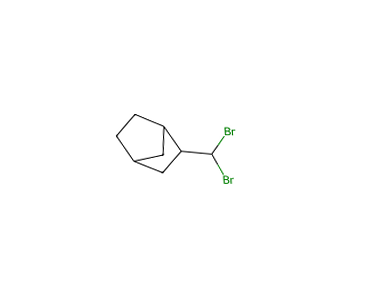 BrC(Br)C1CC2CCC1C2